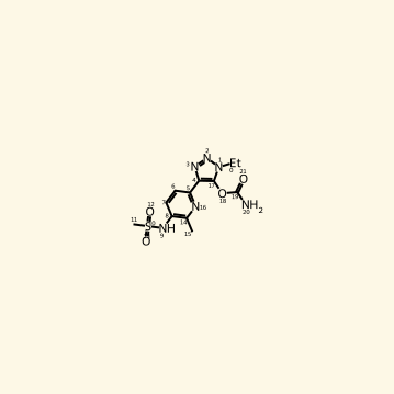 CCn1nnc(-c2ccc(NS(C)(=O)=O)c(C)n2)c1OC(N)=O